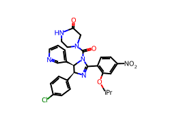 CC(C)Oc1cc([N+](=O)[O-])ccc1C1=N[C@@H](c2ccc(Cl)cc2)[C@@H](c2cccnc2)N1C(=O)N1CCNC(=O)C1